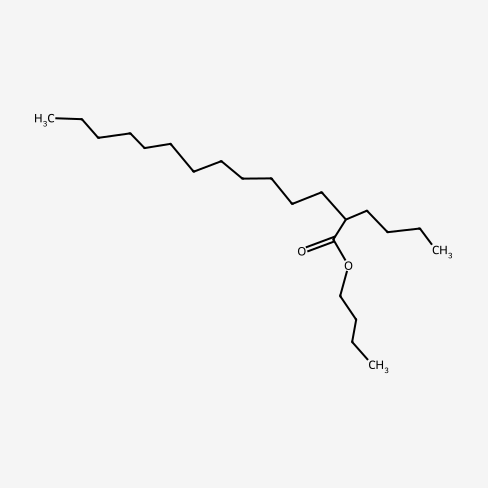 CCCCCCCCCCCCC(CCCC)C(=O)OCCCC